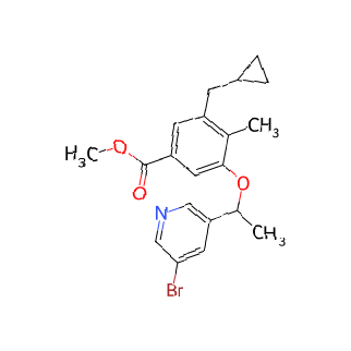 COC(=O)c1cc(CC2CC2)c(C)c(OC(C)c2cncc(Br)c2)c1